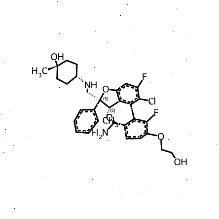 C[C@H]1c2c(cc(F)c(Cl)c2-c2c(C(N)=O)ccc(OCCO)c2F)O[C@]1(CN[C@H]1CC[C@@](C)(O)CC1)c1ccccc1